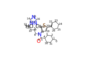 CC1CCC(C(=O)N(CCCC(C)n2cncn2)c2cc(C3=CCCCC3)sc2C(=O)O)CC1